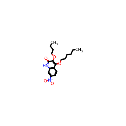 CCCCCCOc1c(OCCCC)c(=O)[nH]c2cc([N+](=O)[O-])ccc12